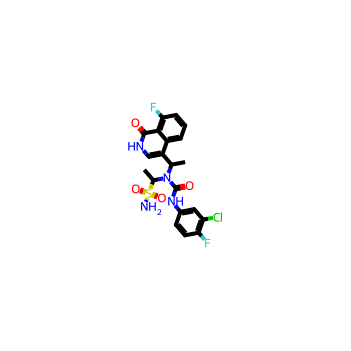 CC(c1c[nH]c(=O)c2c(F)cccc12)N(C(=O)Nc1ccc(F)c(Cl)c1)C(C)S(N)(=O)=O